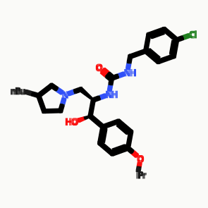 CCCCC1CCN(C[C@@H](NC(=O)NCc2ccc(Cl)cc2)[C@H](O)c2ccc(OC(C)C)cc2)C1